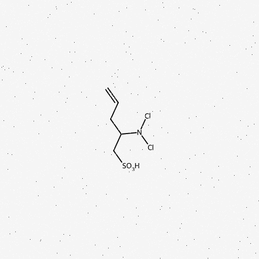 C=CCC(CS(=O)(=O)O)N(Cl)Cl